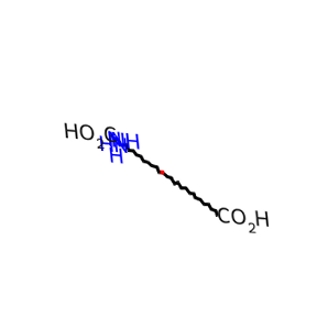 O=C(O)CCCCCCCCCCCCCCCCCCCCCCCCCCNNNC(=O)O